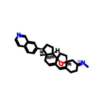 C/N=C1\CCC2=CC3=CC[C@]4(C)[C@@H](c5ccc6ccncc6c5)CC[C@H]4C34CC[C@]2(C1)O4